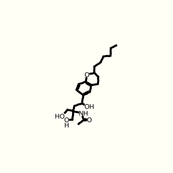 CCCCCCC1CCc2cc(C(O)CC(CO)(CO)NC(C)=O)ccc2O1